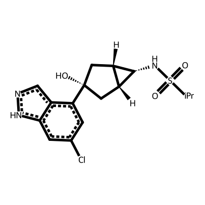 CC(C)S(=O)(=O)N[C@@H]1[C@@H]2C[C@@](O)(c3cc(Cl)cc4[nH]ncc34)C[C@@H]21